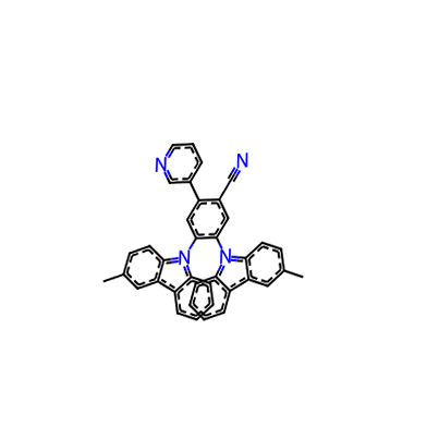 Cc1ccc2c(c1)c1ccccc1n2-c1cc(C#N)c(-c2cccnc2)cc1-n1c2ccccc2c2cc(C)ccc21